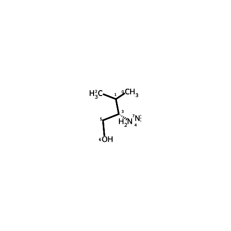 CC(C)[C@H](N)CO.[N]